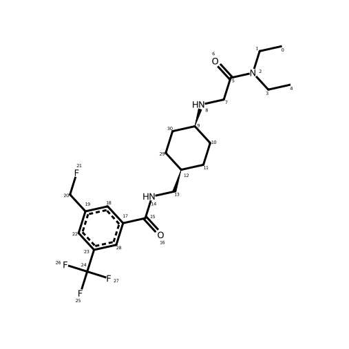 CCN(CC)C(=O)CN[C@H]1CC[C@@H](CNC(=O)c2cc(CF)cc(C(F)(F)F)c2)CC1